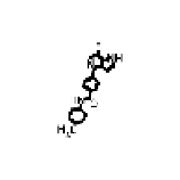 CC1CCC(NC(=O)c2ccc(-c3ncc(F)c4[nH]ccc34)cc2)CC1